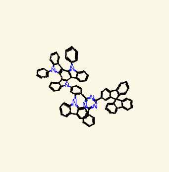 c1ccc(-c2nc(-c3ccc4c(c3)C3(c5ccccc5-c5ccccc53)c3ccccc3-4)nc(-c3ccc(-n4c5ccccc5c5c6c(c7ccccc7n6-c6ccccc6)c6c(c7ccccc7n6-c6ccccc6)c54)cc3-n3c4ccccc4c4ccccc43)n2)cc1